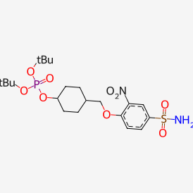 CC(C)(C)OP(=O)(OC1CCC(COc2ccc(S(N)(=O)=O)cc2[N+](=O)[O-])CC1)OC(C)(C)C